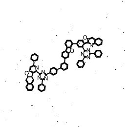 C1=c2ccccc2=CC2c3c(cc(-c4ccccc4)nc3-c3nc(-c4ccccc4)nc(-c4ccc(-c5cccc(-c6ccc7c(c6)oc6c(-c8cc(-c9nc(-c%10ccccc%10)nc(-c%10ccccc%10)n9)c9c(c8)oc8cc%10ccccc%10nc89)cccc67)c5)cc4)n3)OC12